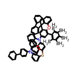 Bc1c(B)c(B)c(-c2cc(N(c3ccc4sc5cccc(N(c6ccccc6)c6ccc(-c7ccccc7)cc6)c5c4c3)c3ccccc3-c3ccccc3)cc3c2Oc2ccccc2C32c3ccccc3-c3ccccc32)c(B)c1B